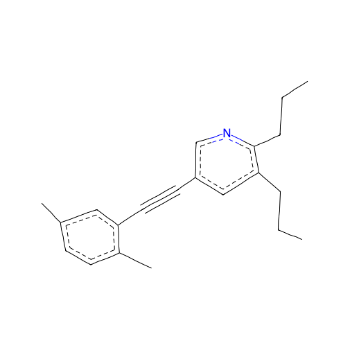 CCCc1cc(C#Cc2cc(C)ccc2C)cnc1CCC